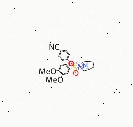 COc1ccc(S(=O)(=O)N2CC3CCC(C2)N3CCOc2ccc(C#N)cc2)cc1OC